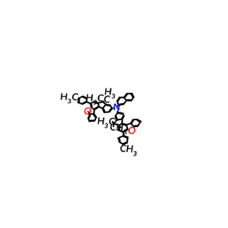 Cc1ccc(-c2cc3c(c4c2oc2ccccc24)-c2ccc(N(c4ccc5c(c4)C(C)(C)c4cc(-c6ccc(C)cc6)c6oc7ccccc7c6c4-5)c4ccc5ccccc5c4)cc2C3(C)C)cc1